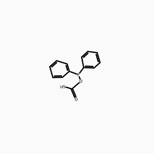 O=C(S)OP(c1ccccc1)c1ccccc1